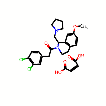 COc1ccc2c(c1)C(CN1CCCC1)N(C(=O)Cc1ccc(Cl)c(Cl)c1)CC2.O=C(O)/C=C\C(=O)O